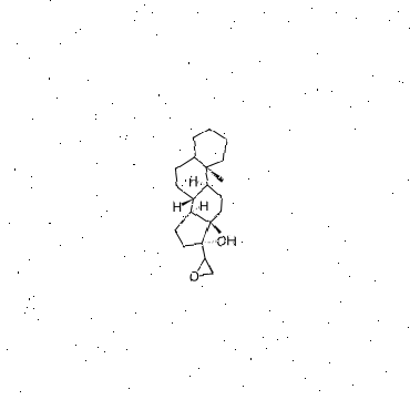 C[C@]12CCCCC1CC[C@@H]1[C@@H]2CC[C@@]2(C)[C@H]1CC[C@]2(O)C1CO1